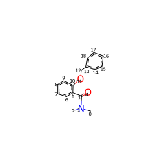 CN(C)C(=O)c1ccccc1OCc1ccccc1